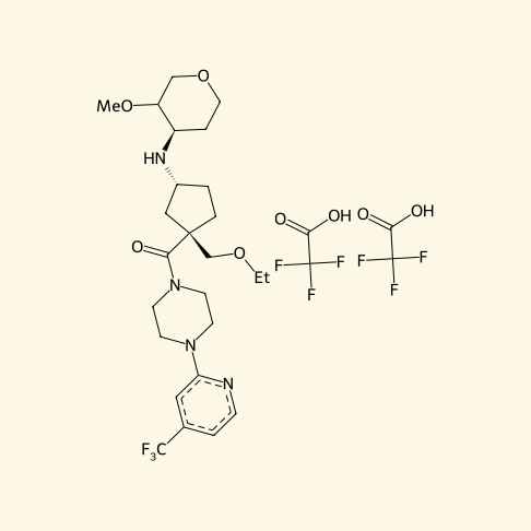 CCOC[C@]1(C(=O)N2CCN(c3cc(C(F)(F)F)ccn3)CC2)CC[C@@H](N[C@@H]2CCOCC2OC)C1.O=C(O)C(F)(F)F.O=C(O)C(F)(F)F